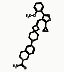 NC(=O)N1CCc2cc(N3CCC4(CC3)CC(=Cc3c(-c5ccccc5OC(F)(F)F)noc3C3CC3)C4)ccc2C1